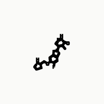 Cc1c(N2Cc3cc(F)c(OCC4CCCN4)cc3C2)cn[nH]c1=O